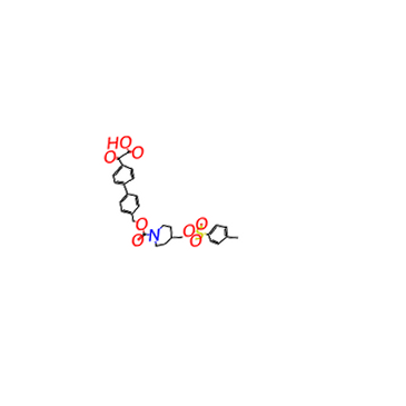 Cc1ccc(S(=O)(=O)OCC2CCN(C(=O)OCc3ccc(-c4ccc(C(=O)C(=O)O)cc4)cc3)CC2)cc1